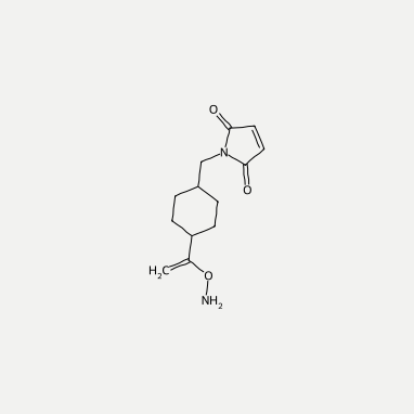 C=C(ON)C1CCC(CN2C(=O)C=CC2=O)CC1